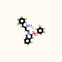 N[C@@H](CCN1Cc2ccccc2C[C@H]1COc1cccc(F)c1)Cc1ccccc1F